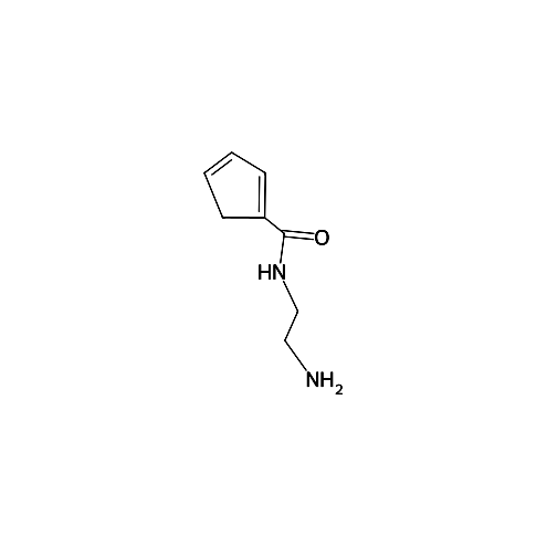 NCCNC(=O)C1=CC=CC1